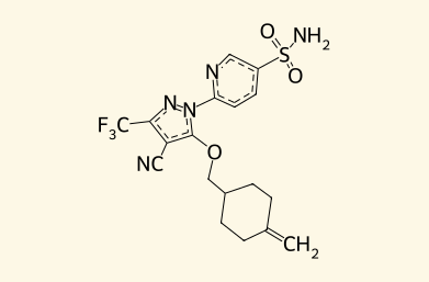 C=C1CCC(COc2c(C#N)c(C(F)(F)F)nn2-c2ccc(S(N)(=O)=O)cn2)CC1